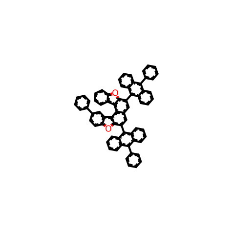 c1ccc(-c2ccc3oc4c(-c5c6ccccc6c(-c6ccccc6)c6ccccc56)cc5cc(-c6c7ccccc7c(-c7ccccc7)c7ccccc67)c6oc7ccccc7c6c5c4c3c2)cc1